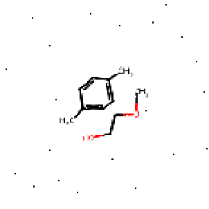 COCCO.Cc1ccc(C)cc1